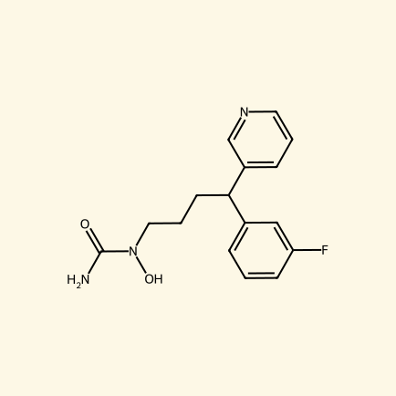 NC(=O)N(O)CCCC(c1cccnc1)c1cccc(F)c1